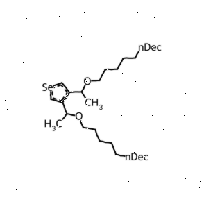 CCCCCCCCCCCCCCCOC(C)c1c[se]cc1C(C)OCCCCCCCCCCCCCCC